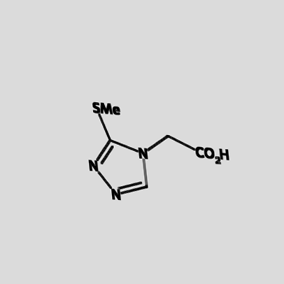 [CH2]Sc1nncn1CC(=O)O